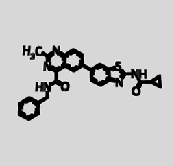 Cc1nc(C(=O)NCc2ccccc2)c2cc(-c3ccc4nc(NC(=O)C5CC5)sc4c3)ccc2n1